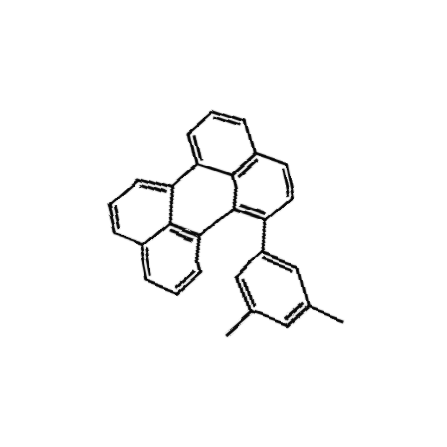 Cc1cc(C)cc(-c2ccc3cccc4c5cccc6cccc(c2c34)c65)c1